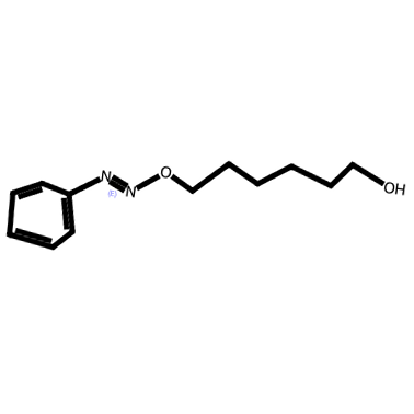 OCCCCCCO/N=N/c1ccccc1